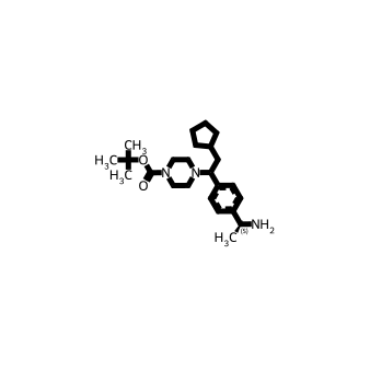 C[C@H](N)c1ccc(C(CC2CCCC2)N2CCN(C(=O)OC(C)(C)C)CC2)cc1